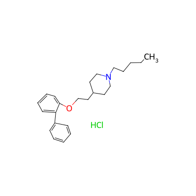 CCCCCN1CCC(CCOc2ccccc2-c2ccccc2)CC1.Cl